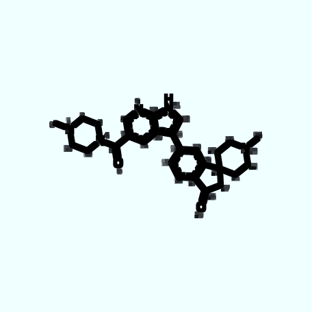 CN1CCN(C(=O)c2cnc3[nH]cc(-c4ccc5c(c4)C4(CCN(C)CC4)CC5=O)c3c2)CC1